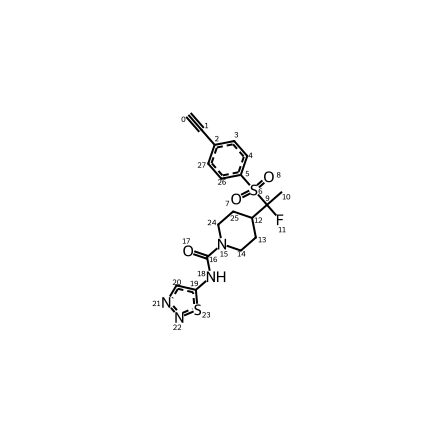 C#Cc1ccc(S(=O)(=O)C(C)(F)C2CCN(C(=O)Nc3cnns3)CC2)cc1